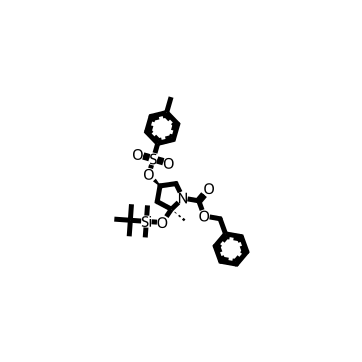 Cc1ccc(S(=O)(=O)O[C@H]2CN(C(=O)OCc3ccccc3)[C@@](C)(O[Si](C)(C)C(C)(C)C)C2)cc1